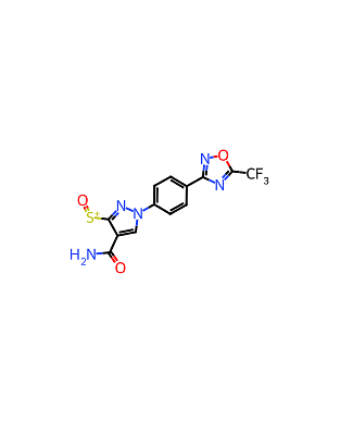 NC(=O)c1cn(-c2ccc(-c3noc(C(F)(F)F)n3)cc2)nc1[S+]=O